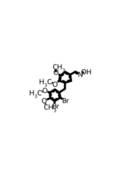 COc1cc(C=NO)cc(Cc2cc(OC)c(OC)c(Br)c2Br)c1OC